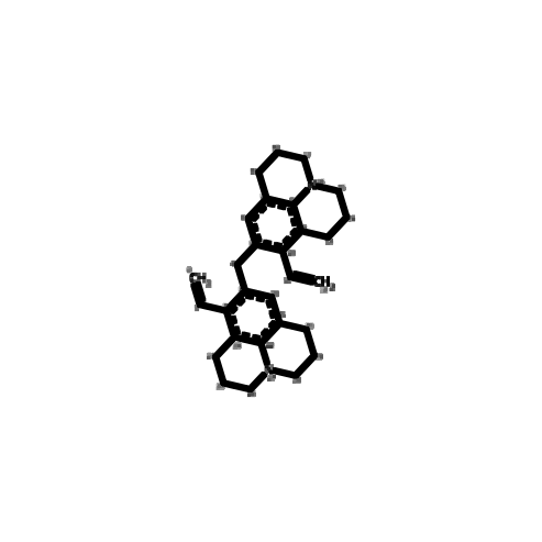 C=Cc1c(Cc2cc3c4c(c2C=C)CCCN4CCC3)cc2c3c1CCCN3CCC2